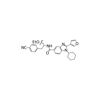 CCOC(=O)C(Cc1ccc(C#N)cc1)NC(=O)c1ccc2c(c1)nc(-c1ccoc1)n2C1CCCCC1